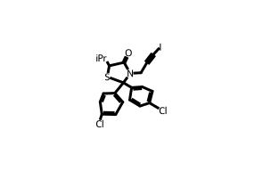 CC(C)C1SC(c2ccc(Cl)cc2)(c2ccc(Cl)cc2)N(CC#CI)C1=O